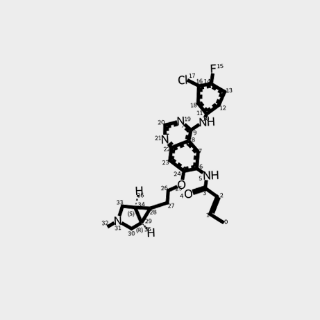 CC=CC(=O)Nc1cc2c(Nc3ccc(F)c(Cl)c3)ncnc2cc1OCCC1[C@H]2CN(C)C[C@@H]12